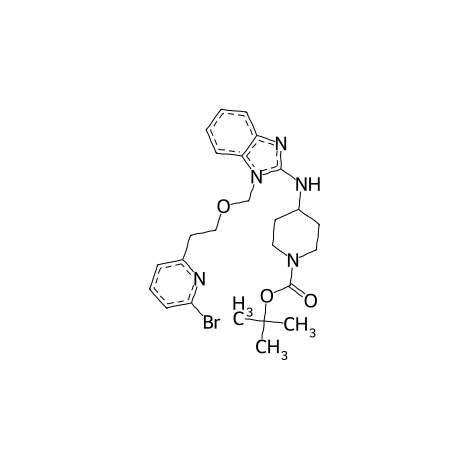 CC(C)(C)OC(=O)N1CCC(Nc2nc3ccccc3n2COCCc2cccc(Br)n2)CC1